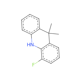 CC1(C)c2ccccc2Nc2c(F)cccc21